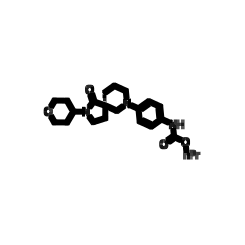 CCCOC(=O)Nc1ccc(N2CCC[C@@]3(CCN(C4CCOCC4)C3=O)C2)cc1